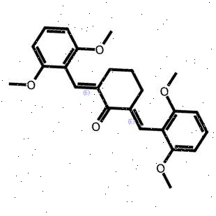 COc1cccc(OC)c1/C=C1\CCC/C(=C\c2c(OC)cccc2OC)C1=O